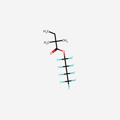 CCC(C)(C)C(=O)OC(F)(F)C(F)(F)C(F)(F)C(F)(F)F